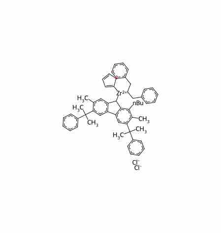 CCCCc1c(C)c(C(C)(C)c2ccccc2)cc2c1[CH]([Zr+2]([C]1=CC=CC1)=[C](Cc1ccccc1)Cc1ccccc1)c1cc(C)c(C(C)(C)c3ccccc3)cc1-2.[Cl-].[Cl-]